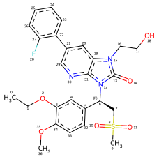 CCOc1cc([C@H](CS(C)(=O)=O)n2c(=O)n(CCO)c3cc(-c4ccccc4F)cnc32)ccc1OC